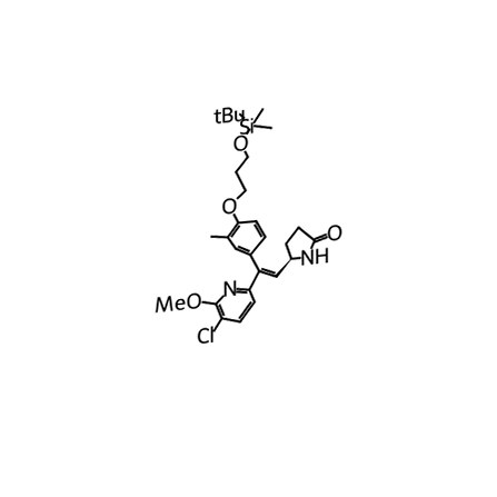 COc1nc(/C(=C/[C@H]2CCC(=O)N2)c2ccc(OCCCO[Si](C)(C)C(C)(C)C)c(C)c2)ccc1Cl